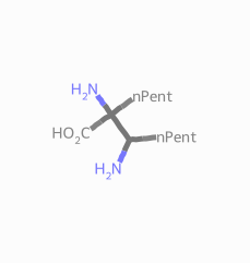 CCCCCC(N)C(N)(CCCCC)C(=O)O